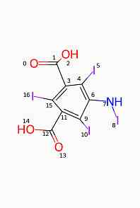 O=C(O)c1c(I)c(NI)c(I)c(C(=O)O)c1I